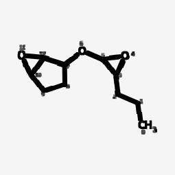 CCCC1OC1OC1CCC2OC12